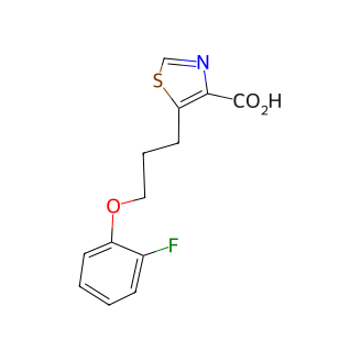 O=C(O)c1ncsc1CCCOc1ccccc1F